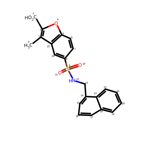 Cc1c(C(=O)O)oc2ccc(S(=O)(=O)NCc3cccc4ccccc34)cc12